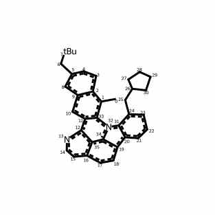 Cc1c2ccc(CC(C)(C)C)cc2cc2c3nccc4ccc5c6cccc(CC7CCCC7)c6n(c12)c5c43